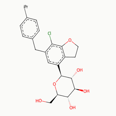 CC(C)c1ccc(Cc2cc([C@@H]3O[C@H](CO)[C@@H](O)[C@H](O)[C@H]3O)c3c(c2Cl)OCC3)cc1